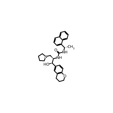 C[C@H](NC(=O)N[C@H](CN1CCCC1)[C@H](O)c1ccc2c(c1)CCCO2)c1cccc2ccccc12